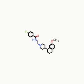 COc1ccc2c(c1)C(C1CCN(CCNC(=O)c3ccc(F)cc3)CC1)=CCC2